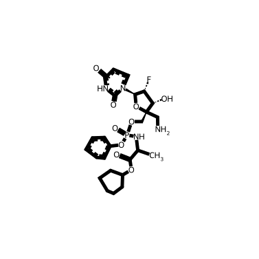 CC(NP(=O)(OC[C@@]1(CN)O[C@@H](n2ccc(=O)[nH]c2=O)[C@H](F)[C@@H]1O)Oc1ccccc1)C(=O)OC1CCCCC1